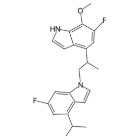 COc1c(F)cc(C(C)Cn2ccc3c(C(C)C)cc(F)cc32)c2cc[nH]c12